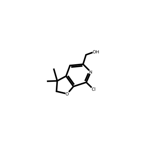 CC1(C)COc2c1cc(CO)nc2Cl